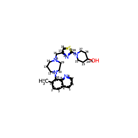 Cc1ccc2cccnc2c1N1CCCN(Cc2csc(N3CCC(O)CC3)n2)CC1